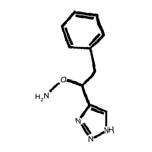 NOC(Cc1ccccc1)c1c[nH]nn1